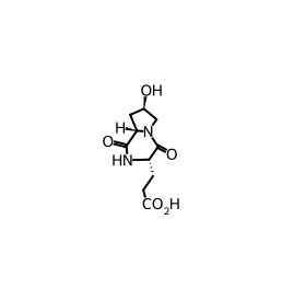 O=C(O)CC[C@@H]1NC(=O)[C@@H]2C[C@@H](O)CN2C1=O